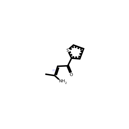 C/C(N)=C/C(=O)c1cccs1